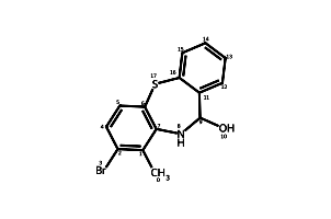 Cc1c(Br)ccc2c1NC(O)c1ccccc1S2